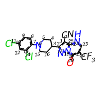 N#Cc1c(C2CCN(c3ccc(Cl)cc3Cl)CC2)nn2c(=O)c(C(F)(F)F)c[nH]c12